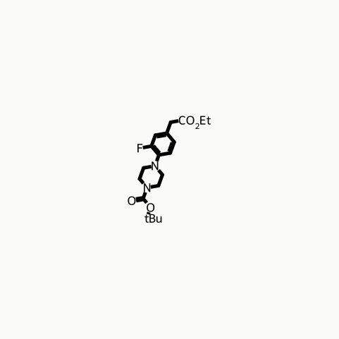 CCOC(=O)Cc1ccc(N2CCN(C(=O)OC(C)(C)C)CC2)c(F)c1